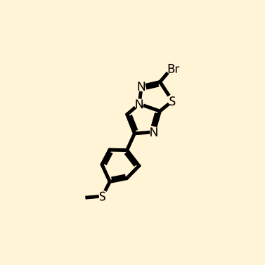 CSc1ccc(-c2cn3nc(Br)sc3n2)cc1